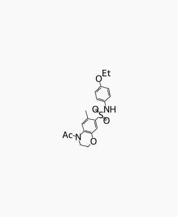 CCOc1ccc(NS(=O)(=O)c2cc3c(cc2C)N(C(C)=O)CCO3)cc1